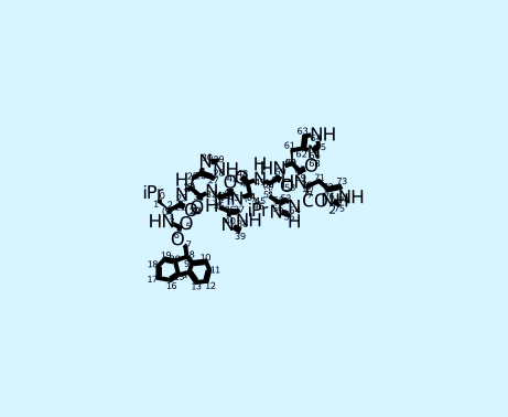 CC(C)C[C@H](NC(=O)OCC1c2ccccc2-c2ccccc21)C(=O)N[C@@H](Cc1c[nH]cn1)C(=O)N[C@@H](Cc1c[nH]cn1)C(=O)N[C@@H](CC(C)C)C(=O)N[C@@H](Cc1c[nH]cn1)C(=O)N[C@@H](Cc1c[nH]cn1)C(=O)N[C@@H](Cc1c[nH]cn1)C(=O)O